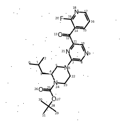 CC(C)C[C@H]1CN(c2cncc(C(=O)c3cccnc3F)n2)CCN1C(=O)OC(C)(C)C